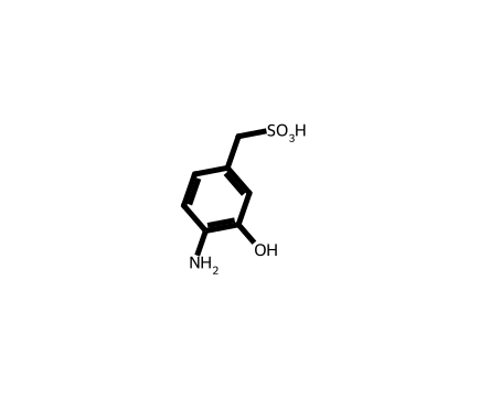 Nc1ccc(CS(=O)(=O)O)cc1O